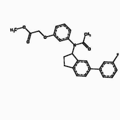 COC(=O)COc1cccc(N(C(C)=O)C2CCc3ccc(-c4cccc(F)c4)cc32)c1